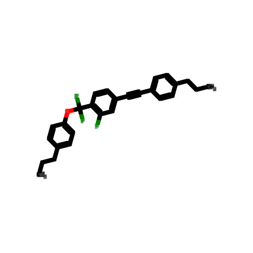 CCCc1ccc(C#Cc2ccc(C(F)(F)Oc3ccc(CCC)cc3)c(F)c2)cc1